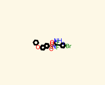 CN([C@@H](C(N)=O)C(F)(F)c1ccc(Br)cc1)S(=O)(=O)c1ccc2cc(OC3CCCCC3)ccc2c1